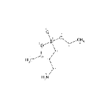 CCO[Si]([O])(CCCN)OCC